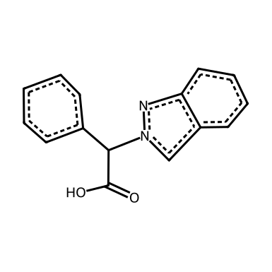 O=C(O)C(c1ccccc1)n1cc2ccccc2n1